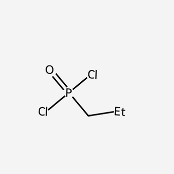 CCCP(=O)(Cl)Cl